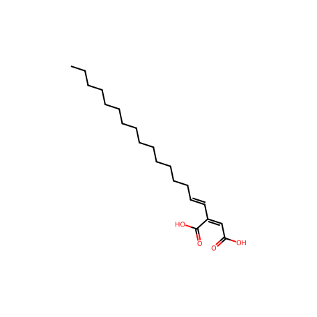 CCCCCCCCCCCCCCC=C/C(=C/C(=O)O)C(=O)O